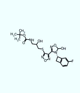 CC(C)(C)OC(=O)NCC(O)CSc1nonc1C1=NOC(O)N1[C@H]1Cc2ccc(F)cc21